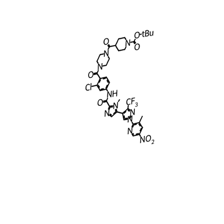 Cc1cc([N+](=O)[O-])cnc1-n1cc(-c2cnc(C(=O)Nc3ccc(C(=O)N4CCN(C(=O)C5CCN(C(=O)OC(C)(C)C)CC5)CC4)c(Cl)c3)n2C)c(C(F)(F)F)n1